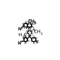 CC[C@H]1CN(C(c2ccc(F)cc2)c2ccc(C#N)cc2)[C@H](C)CN1c1cc(=O)n(C)c2ccc(C#N)nc12